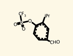 CC(C)c1cc(C=O)ccc1OS(=O)(=O)C(F)(F)F